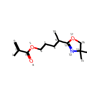 C=C(C)C(=O)OCCCC(C)C1=NC(C)(C)CO1